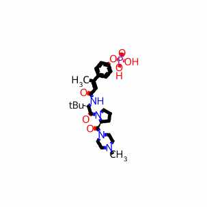 C/C(=C\C(=O)N[C@H](C(=O)N1CCC[C@H]1C(=O)N1CCN(C)CC1)C(C)(C)C)c1ccc(OP(=O)(O)O)cc1